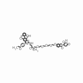 C=CC(=O)N1CCN(c2nc(NCCC(=O)N(C)CCOCCOCCOCCOCCOc3ccc4c(c3)CN(C3CCC(=O)NC3=O)C4=O)nc3c(F)c(-c4c(O)cccc4F)c(Cl)cc23)CC1